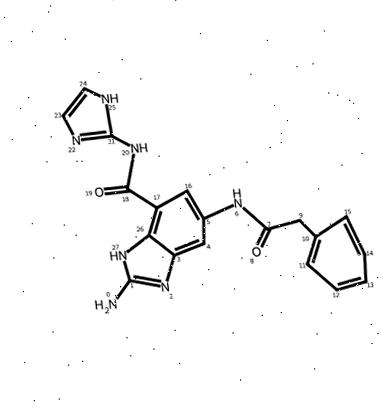 Nc1nc2cc(NC(=O)Cc3ccccc3)cc(C(=O)Nc3ncc[nH]3)c2[nH]1